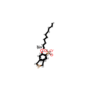 CCCCCCCCCCOc1cc2c(cc1S(=O)(=O)[O-])CSC2.[Na+]